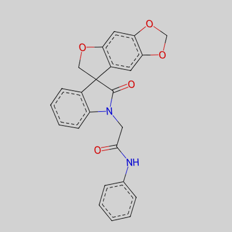 O=C(CN1C(=O)C2(COc3cc4c(cc32)OCO4)c2ccccc21)Nc1ccccc1